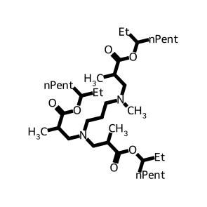 CCCCCC(CC)OC(=O)C(C)CN(C)CCCN(CC(C)C(=O)OC(CC)CCCCC)CC(C)C(=O)OC(CC)CCCCC